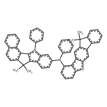 CC1(C)c2ccccc2-c2cc3oc4cccc(N(c5ccccc5)c5ccc6c7c(n(-c8ccccc8)c6c5)-c5c(ccc6ccccc56)C7(C)C)c4c3cc21